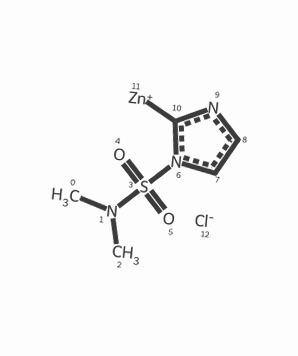 CN(C)S(=O)(=O)n1ccn[c]1[Zn+].[Cl-]